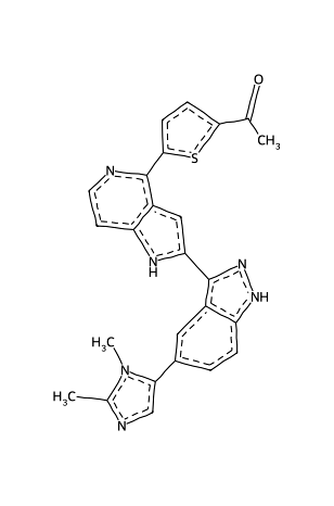 CC(=O)c1ccc(-c2nccc3[nH]c(-c4n[nH]c5ccc(-c6cnc(C)n6C)cc45)cc23)s1